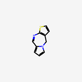 C1=Nc2sccc2Cn2cccc21